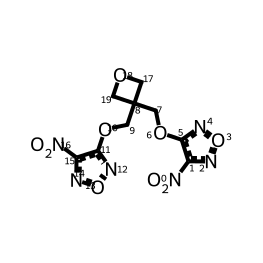 O=[N+]([O-])c1nonc1OCC1(COc2nonc2[N+](=O)[O-])COC1